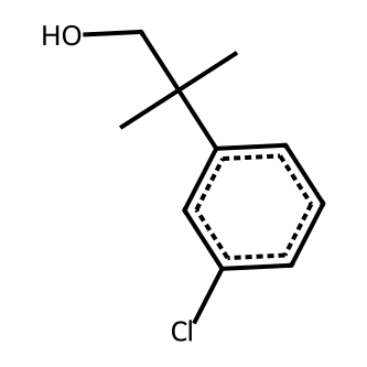 CC(C)(CO)c1cccc(Cl)c1